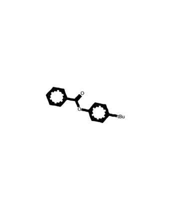 CC(C)(C)c1ccc(OC(=O)c2[c]cccc2)cc1